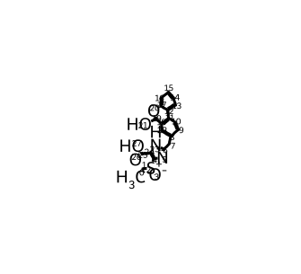 CC[S+]([O-])c1nc(Cc2ccc(-c3ccccc3)c(C(=O)O)c2)[nH]c1C(=O)O